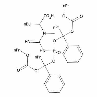 CCCCC(C(=O)O)N(C)C(=N)NP(=O)(OC(CCC)(OC(=O)OCCC)c1ccccc1)OC(CCC)(OC(=O)OCCC)c1ccccc1